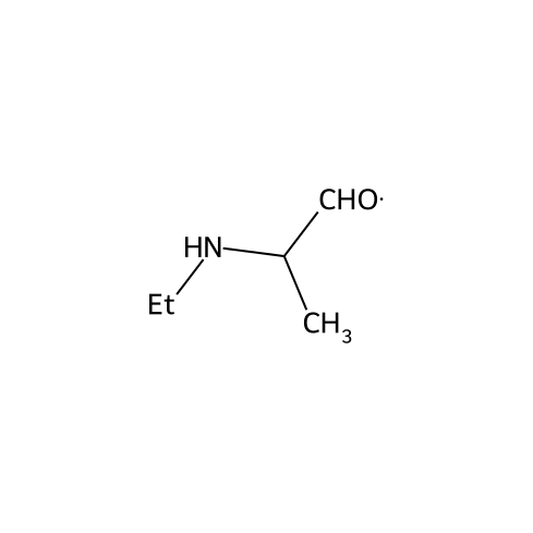 CCNC(C)[C]=O